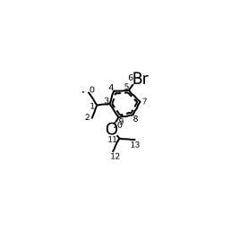 [CH2]C(C)c1cc(Br)ccc1OC(C)C